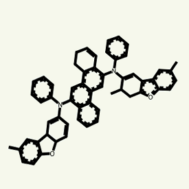 Cc1ccc2c(c1)C1C=C(N(c3ccccc3)c3cc4c5c(c(N(C6=Cc7c(oc8ccc(C)cc78)CC6C)c6ccccc6)cc4c4ccccc34)C=CCC5)C=CC1O2